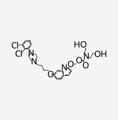 O=C(OCOc1ccc2ccc(OCCCCN3CCN(c4cccc(Cl)c4Cl)CC3)cc2n1)N(CCO)CCO